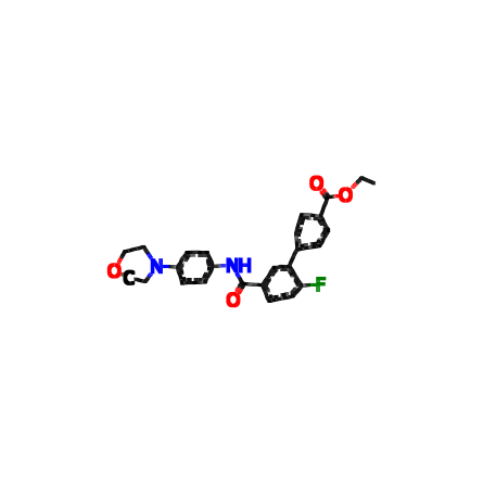 CCOC(=O)c1ccc(-c2cc(C(=O)Nc3ccc(N4CCOCC4)cc3)ccc2F)cc1